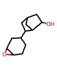 OC1CC2CC1C(C1CCC3OC3C1)C2